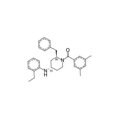 CCc1ccccc1N[C@H]1CCN(C(=O)c2cc(C)cc(C)c2)[C@H](Cc2ccccc2)C1